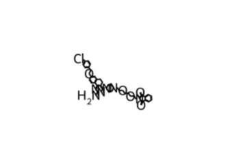 Nc1nc2c(c(N3CCN(CCOCCOCCN4C(=O)c5ccccc5C4=O)CC3)n1)CCc1cc(OCc3ccc(Cl)cc3)ccc1-2